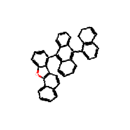 C1=Cc2cccc(-c3c4ccccc4c(-c4cccc5oc6c7ccccc7ccc6c45)c4ccccc34)c2CC1